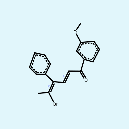 COc1cccc(C(=O)/C=C/C(=C(/C)Br)c2ccccc2)c1